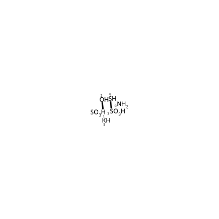 N.O=S(=O)(O)O.O=S(=O)(O)S.[KH]